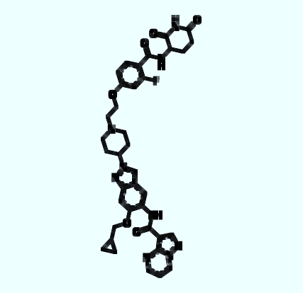 O=C1CCC(NC(=O)c2ccc(OCCN3CCC(n4cc5cc(NC(=O)c6cnn7cccnc67)c(OCC6CC6)cc5n4)CC3)cc2F)C(=O)N1